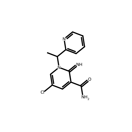 CC(c1ccccn1)n1cc(Cl)cc(C(N)=O)c1=N